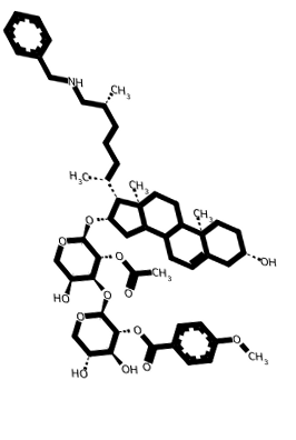 COc1ccc(C(=O)O[C@H]2[C@H](O[C@@H]3[C@@H](OC(C)=O)[C@H](O[C@H]4CC5C6CC=C7C[C@@H](O)CC[C@]7(C)C6CC[C@]5(C)[C@H]4[C@H](C)CCC[C@@H](C)CNCc4ccccc4)OC[C@@H]3O)OC[C@@H](O)[C@@H]2O)cc1